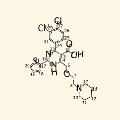 O=C(O)C1=C(COCCN2CCCCC2)NC(c2cccs2)=NC1c1ccc(Cl)c(Cl)c1